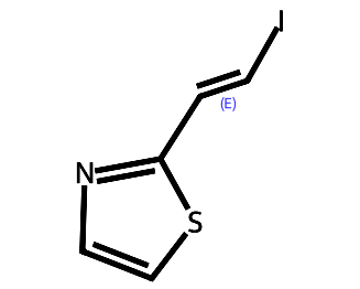 I/C=C/c1nccs1